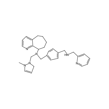 CN1C=CCN1CN(Cc1ccc(CNCc2ccccn2)cc1)C1CCCCc2cccnc21